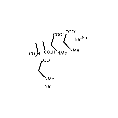 CC(=O)O.CC(=O)O.CNCC(=O)[O-].CNCC(=O)[O-].CNCC(=O)[O-].[Na+].[Na+].[Na+]